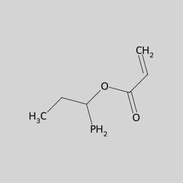 C=CC(=O)OC(P)CC